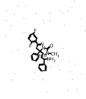 CN(C)C(=O)N1N=C(c2cc(F)ccc2F)CC1(CCC(N)c1ccccc1)c1ccccc1